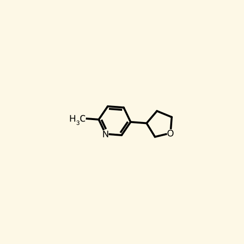 Cc1ccc(C2CCOC2)cn1